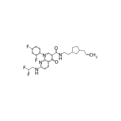 C=CCC1CCC(CCNC(=O)c2cn(-c3ccc(F)cc3F)c3nc(NCC(F)F)ccc3c2=O)C1